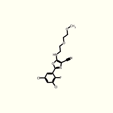 COCCOCCNc1oc(-c2cc(Cl)cc(Cl)c2F)nc1C#N